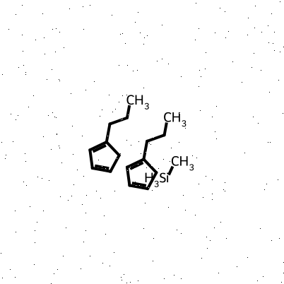 CCCC1=CC=CC1.CCCC1=CC=CC1.C[SiH3]